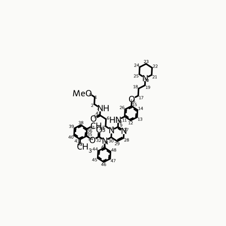 COCCNC(=O)CCN1C(Nc2cccc(OCCCN3CCCCC3)c2)=NC=CC1N(C(=O)Oc1c(C)cccc1C)c1ccccc1